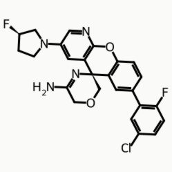 NC1=N[C@@]2(COC1)c1cc(-c3cc(Cl)ccc3F)ccc1Oc1ncc(N3CC[C@@H](F)C3)cc12